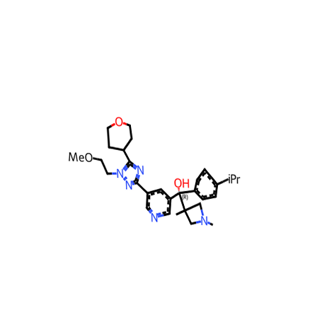 COCCn1nc(-c2cncc([C@@](O)(c3ccc(C(C)C)cc3)C3(C)CN(C)C3)c2)nc1C1CCOCC1